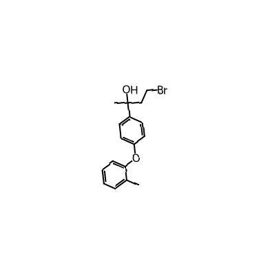 Cc1ccccc1Oc1ccc(C(C)(O)CCBr)cc1